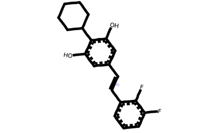 Oc1cc(/C=C/c2cccc(F)c2F)cc(O)c1C1CCCCC1